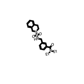 CCN(CC)C(=O)c1cccc(CNS(=O)(=O)N2CCc3ccccc3C2)c1